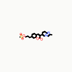 Cc1cn2cc(-c3cc4ccc(CCCOS(C)(=O)=O)cc4oc3=O)ccc2n1